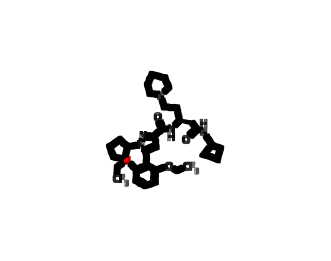 O=C(C[C@H](CCN1CCCCC1)NC(=O)c1cc(-c2c(OCC(F)(F)F)cccc2OCC(F)(F)F)n(C2CCCC2)n1)NC1CCC1